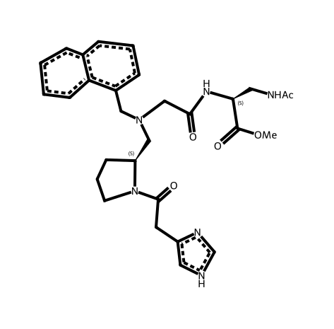 COC(=O)[C@H](CNC(C)=O)NC(=O)CN(Cc1cccc2ccccc12)C[C@@H]1CCCN1C(=O)Cc1c[nH]cn1